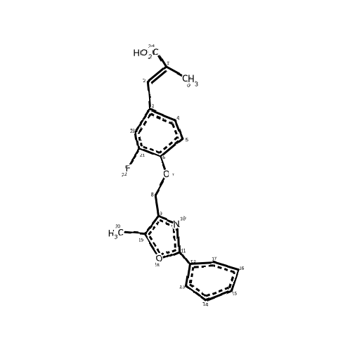 CC(=Cc1ccc(OCc2nc(-c3ccccc3)oc2C)c(F)c1)C(=O)O